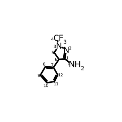 NC1=NN(C(F)(F)F)CC1c1ccccc1